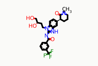 CN1CCC[C@@H](c2ccc3c(c2)[nH]/c(=N\C(=O)c2cccc(C(F)(F)F)c2)n3CC[C@@H](O)CO)C1=O